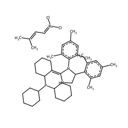 CC(C)=C[CH]=[Ru]([Cl])[Cl].Cc1cc(C)c(C2CNC(=C3CCCCC3P(C3CCCCC3)C3CCCCC3)N2c2c(C)cc(C)cc2C)c(C)c1